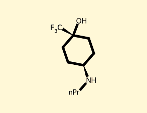 CCCN[C@H]1CC[C@@](O)(C(F)(F)F)CC1